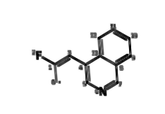 [CH2]/C(F)=C\c1cncc2ccccc12